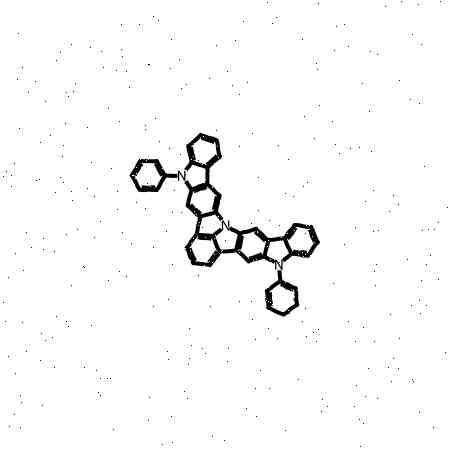 C1=CC(n2c3ccccc3c3cc4c(cc32)c2cccc3c5cc6c(cc5n4c23)c2ccccc2n6-c2ccccc2)=CCC1